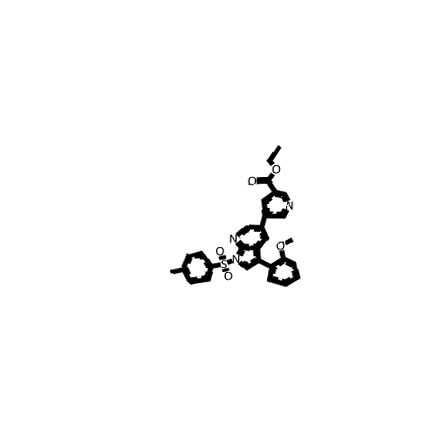 CCOC(=O)c1cncc(-c2cnc3c(c2)c(-c2ccccc2OC)cn3S(=O)(=O)c2ccc(C)cc2)c1